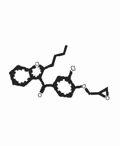 CCCCc1oc2ccccc2c1C(=O)c1ccc(OCC2CO2)c(Cl)c1